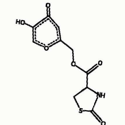 O=C1NC(C(=O)OCc2cc(=O)c(O)co2)CS1